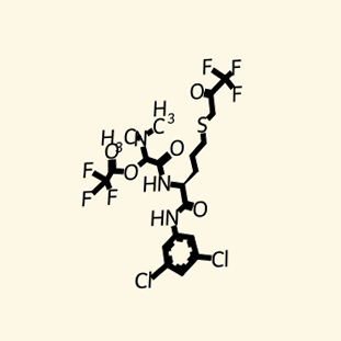 CN(C)C(OC(=O)C(F)(F)F)C(=O)N[C@@H](CCCSCC(=O)C(F)(F)F)C(=O)Nc1cc(Cl)cc(Cl)c1